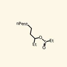 CCCCCCCC(CC)OS(=O)CC